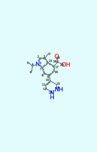 Cc1cn(C(C)C)c2cc(C3=CCNNC3)cc(C(=O)O)c12